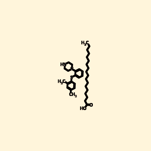 CCCCCCCCCCCCCCCCCC(=O)O.Cc1ccc(Sc2ccccc2N2CCNCC2)c(C)c1